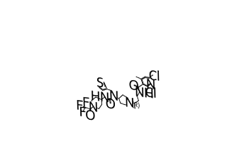 Cc1cc(Cl)nc(Cl)c1C(=O)NCC[C@@H](C)N1CCC(N(Cc2ccsc2)C(=O)NC2CCN(C(=O)C(F)(F)F)CC2)CC1